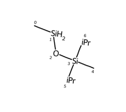 C[SiH2]O[Si](C)(C(C)C)C(C)C